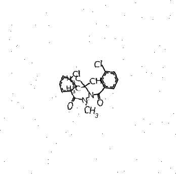 CN(C(=O)c1cccc(Cl)c1)N(C(=O)c1cccc(Cl)c1)C(C)(C)C